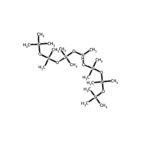 C[SiH](O[Si](C)(C)O[Si](C)(C)O[Si](C)(C)C)O[Si](C)(C)O[Si](C)(C)O[Si](C)(C)C